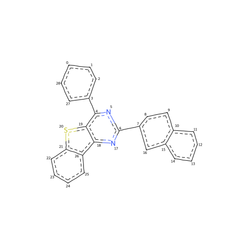 c1ccc(-c2nc(-c3ccc4ccccc4c3)nc3c2sc2ccccc23)cc1